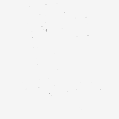 COC(=O)[C@H](Cc1ccc(OCCN(Cc2ccccc2)C(=O)c2ccc3ccccc3c2)cc1)Nc1ccccc1C(=O)c1ccccc1